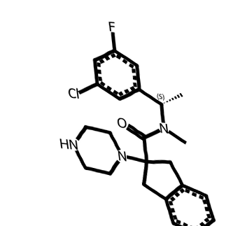 C[C@@H](c1cc(F)cc(Cl)c1)N(C)C(=O)C1(N2CCNCC2)Cc2ccccc2C1